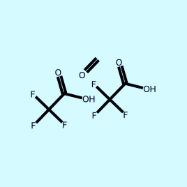 C=O.O=C(O)C(F)(F)F.O=C(O)C(F)(F)F